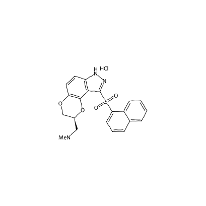 CNC[C@H]1COc2ccc3[nH]nc(S(=O)(=O)c4cccc5ccccc45)c3c2O1.Cl